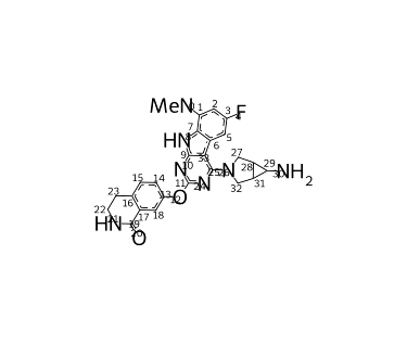 CNc1cc(F)cc2c1[nH]c1nc(Oc3ccc4c(c3)C(=O)NCC4)nc(N3CC4C(N)C4C3)c12